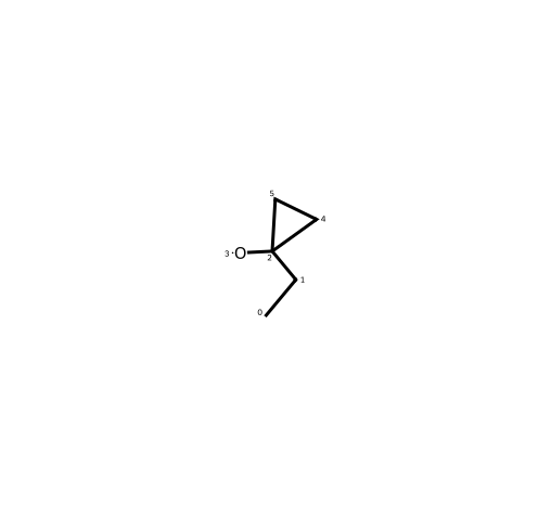 CCC1([O])CC1